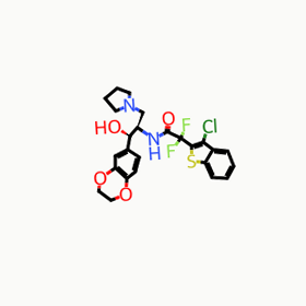 O=C(N[C@H](CN1CCCC1)[C@H](O)c1ccc2c(c1)OCCO2)C(F)(F)c1sc2ccccc2c1Cl